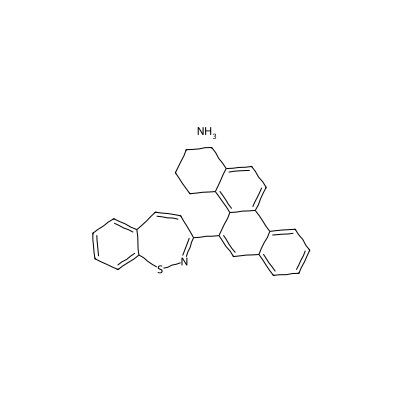 C1=Cc2ccccc2SN=C1c1cc2ccccc2c2ccc3c(c12)CCCC3.N